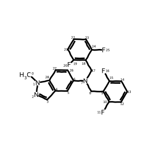 Cn1ncc2cc(N(Cc3c(F)cccc3F)Cc3c(F)cccc3F)ccc21